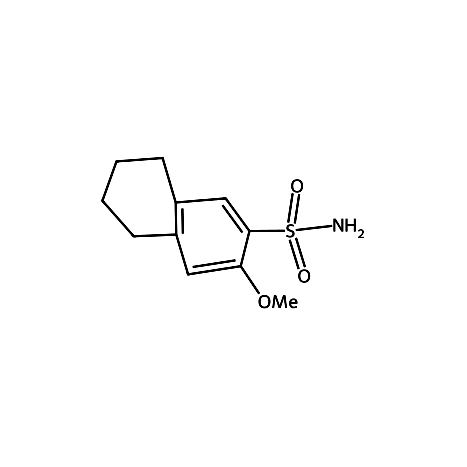 COc1cc2c(cc1S(N)(=O)=O)CCCC2